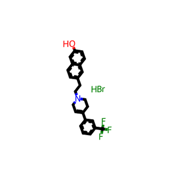 Br.Oc1ccc2cc(CCN3CC=C(c4cccc(C(F)(F)F)c4)CC3)ccc2c1